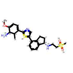 CC(C)OC1=CC=C(c2ncc(-c3cccc4c3CC[C@@H]4NCCS(C)(=O)=O)s2)C(C)C1N